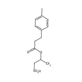 Cc1ccc(CCC(=O)OC(CS(=O)(=O)O)C(F)(F)F)cc1